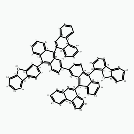 c1ccc2c(c1)cc(-c1c3ccccc3c(-c3ccc4c(c3)oc3ccccc34)c3ccc(-c4ccc5c(-c6cccc7c6oc6ccccc67)c6ccccc6c(-c6cc7ccccc7c7ccccc67)c5c4)cc13)c1ccccc12